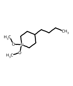 CCCCC1CC[Si](OC)(OC)CC1